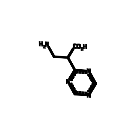 NCC(C(=O)O)c1ncncn1